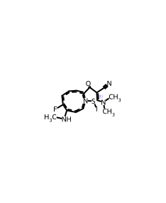 CNc1ccn(SI)c(C(=O)/C(C#N)=C/N(C)C)cccc1F